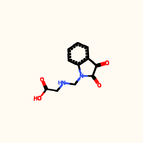 O=C(O)CNCN1C(=O)C(=O)c2ccccc21